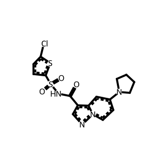 O=C(NS(=O)(=O)c1ccc(Cl)s1)c1cnn2ccc(N3CCCC3)cc12